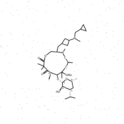 COC1(C)CC(C)CN(C)C(CC2CC(N(C)CC3CC3)C2)COC(=O)C(C)(C)C(=O)[C@H](C)C1O[C@@H]1O[C@H](C)C[C@H](N(C)C)[C@H]1O